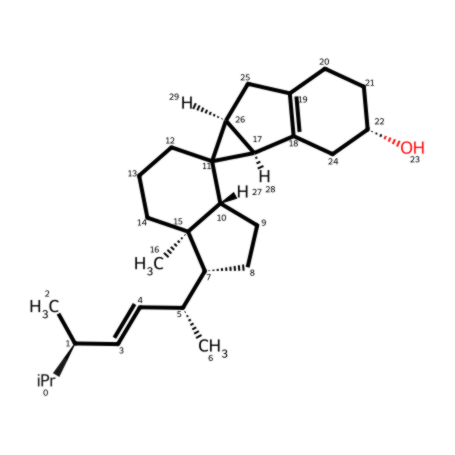 CC(C)[C@@H](C)/C=C/[C@@H](C)[C@H]1CC[C@H]2C3(CCC[C@]12C)[C@@H]1C2=C(CC[C@H](O)C2)C[C@@H]13